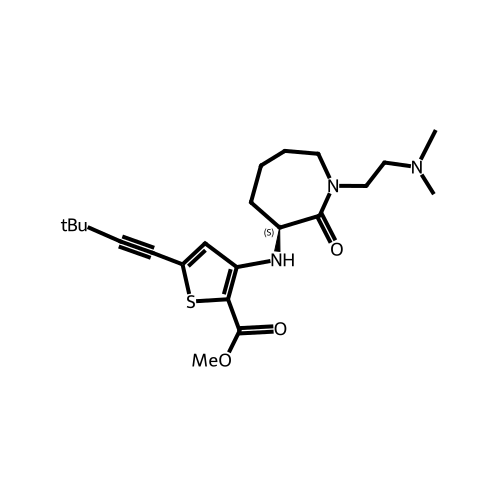 COC(=O)c1sc(C#CC(C)(C)C)cc1N[C@H]1CCCCN(CCN(C)C)C1=O